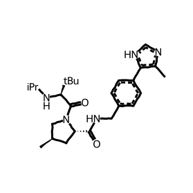 Cc1nc[nH]c1-c1ccc(CNC(=O)[C@@H]2C[C@@H](C)CN2C(=O)[C@@H](NC(C)C)C(C)(C)C)cc1